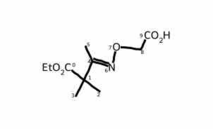 CCOC(=O)C(C)(C)/C(C)=N/OCC(=O)O